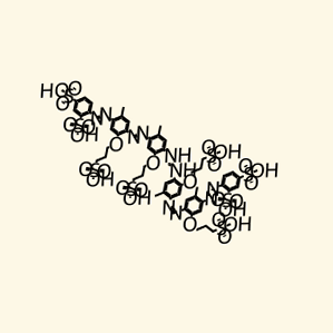 Cc1cc(NCNc2cc(C)c(/N=N\c3cc(C)c(N=Nc4ccc(S(=O)(=O)O)cc4S(=O)(=O)O)cc3OCCCS(=O)(=O)O)cc2OCCCS(=O)(=O)O)c(OCCCS(=O)(=O)O)cc1N=Nc1cc(C)c(N=Nc2ccc(S(=O)(=O)O)cc2S(=O)(=O)O)cc1OCCCS(=O)(=O)O